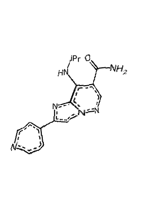 CC(C)Nc1c(C(N)=O)cnn2cc(-c3ccncc3)nc12